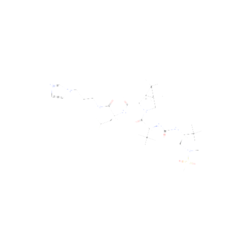 CN(C[C@@H](NC(=O)N[C@H](C(=O)N1C[C@H]2[C@@H]([C@H]1C(=O)N[C@@H](CC(F)F)C(=O)NCCCn1ccnc1)C2(C)C)C(C)(C)C)C(C)(C)C)S(C)(=O)=O